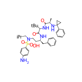 CC(C)CN(C[C@@H](O)[C@H](Cc1ccccc1)NC(=O)C(NC(=O)[C@@H](C)NC1(c2ccccc2)CC1)C(C)(C)C)S(=O)(=O)c1ccc(N)cc1